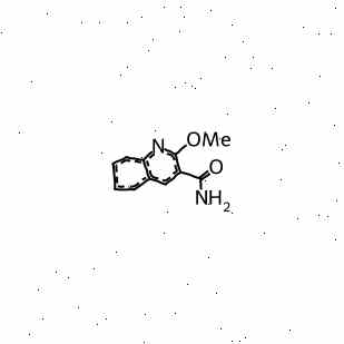 COc1nc2ccccc2cc1C(N)=O